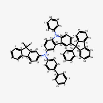 CC1(C)c2ccccc2-c2ccc(N(c3ccc(-c4ccccc4)cc3)c3ccc4c(c3)c3cc(C5(c6ccccc6)c6ccccc6-c6ccccc65)ccc3n4-c3ccccc3)cc21